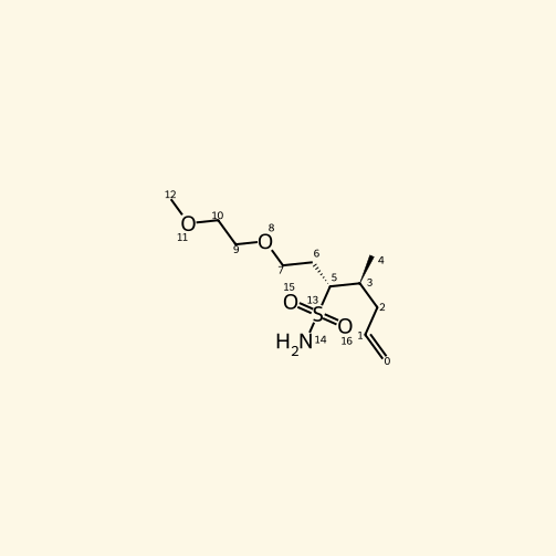 C=CC[C@H](C)[C@@H](CCOCCOC)S(N)(=O)=O